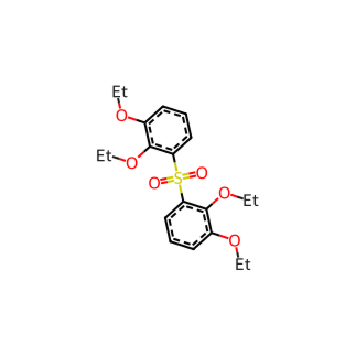 CCOc1cccc(S(=O)(=O)c2cccc(OCC)c2OCC)c1OCC